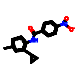 Cc1ccc(NC(=O)c2ccc([N+](=O)[O-])cc2)c(C2CC2)c1